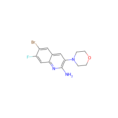 Nc1nc2cc(F)c(Br)cc2cc1N1CCOCC1